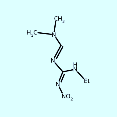 CCNC(/N=C/N(C)C)=N\[N+](=O)[O-]